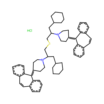 C1=Cc2ccccc2C(=C2CCN(C(CSCC(CC3CCCCC3)N3CCC(=C4c5ccccc5C=Cc5ccccc54)CC3)CC3CCCCC3)CC2)c2ccccc21.Cl